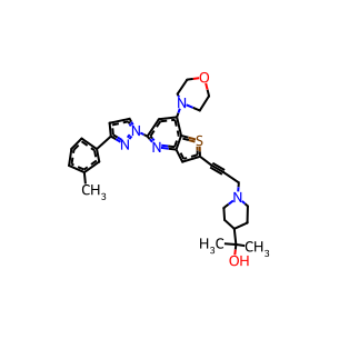 Cc1cccc(-c2ccn(-c3cc(N4CCOCC4)c4sc(C#CCN5CCC(C(C)(C)O)CC5)cc4n3)n2)c1